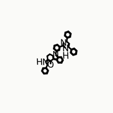 C1=C(c2ccccc2)NC(c2cccc(-n3c4c(c5ccccc53)C3=C(CC4)NC(c4ccccc4)O3)c2)N=C1c1ccccc1